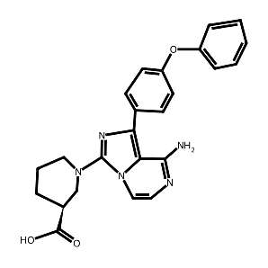 Nc1nccn2c(N3CCC[C@H](C(=O)O)C3)nc(-c3ccc(Oc4ccccc4)cc3)c12